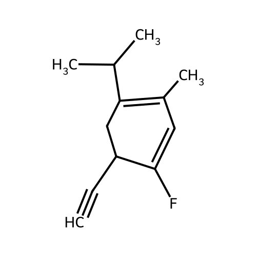 C#CC1CC(C(C)C)=C(C)C=C1F